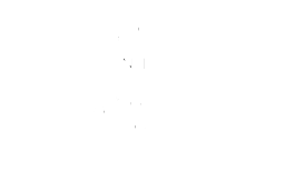 CC(NP=O)C(=O)OOc1ccccc1